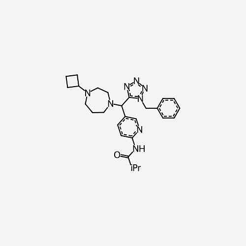 CC(C)C(=O)Nc1ccc(C(c2nnnn2Cc2ccccc2)N2CCCN(C3CCC3)CC2)cn1